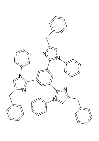 c1ccc(Cc2cn(-c3ccccc3)c(-c3cc(-c4nc(Cc5ccccc5)cn4-c4ccccc4)cc(-c4nc(Cc5ccccc5)cn4-c4ccccc4)c3)n2)cc1